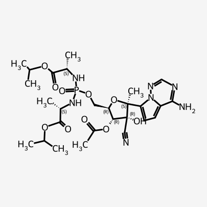 CC(=O)O[C@@H]1[C@@H](COP(=O)(N[C@@H](C)C(=O)OC(C)C)N[C@@H](C)C(=O)OC(C)C)O[C@@](C)(c2ccc3c(N)ncnn23)[C@@]1(O)C#N